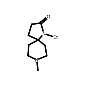 CCN1C(=O)CCC12CCN(C)CC2